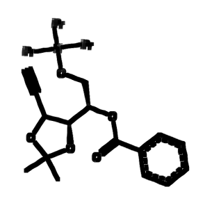 C#CC1OC(C)(C)O[C@@H]1[C@@H](CO[Si](C(C)C)(C(C)C)C(C)C)OC(=O)c1ccccc1